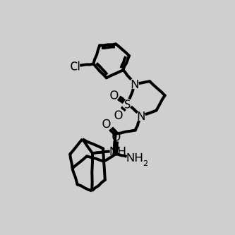 NC(=O)C12CC3CC(C1)C(NC(=O)CN1CCCN(c4cccc(Cl)c4)S1(=O)=O)C(C3)C2